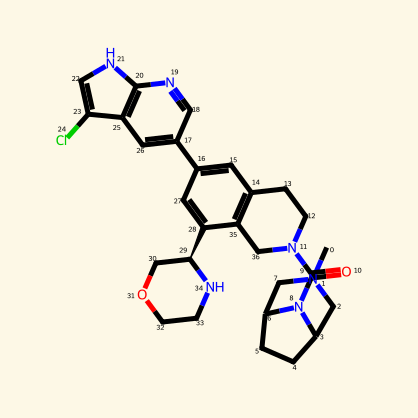 CN1CC2CCC(C1)N2C(=O)N1CCc2cc(-c3cnc4[nH]cc(Cl)c4c3)cc([C@@H]3COCCN3)c2C1